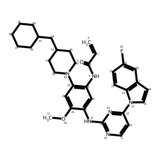 C=CC(=O)Nc1cc(Nc2nccc(-n3ccc4cc(F)ccc43)n2)c(OC)cc1N1CCC(CC2CCCCC2)CC1